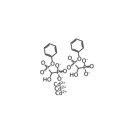 O=P([O-])([O-])C(O)P(=O)([O-])Oc1ccccc1.O=P([O-])([O-])C(O)P(=O)([O-])Oc1ccccc1.[Cd+2].[Cd+2].[Cd+2]